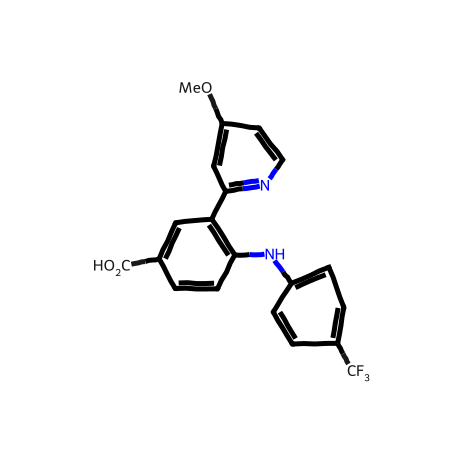 COc1ccnc(-c2cc(C(=O)O)ccc2Nc2ccc(C(F)(F)F)cc2)c1